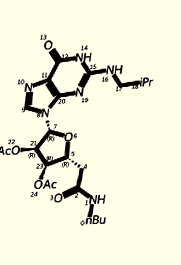 CCCCNC(=O)C[C@H]1O[C@@H](n2cnc3c(=O)[nH]c(NCC(C)C)nc32)[C@H](OC(C)=O)[C@@H]1OC(C)=O